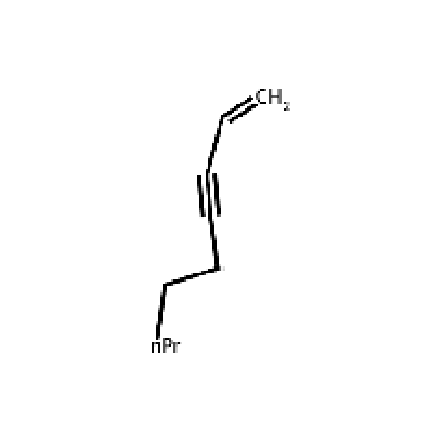 C=CC#C[CH]CCCC